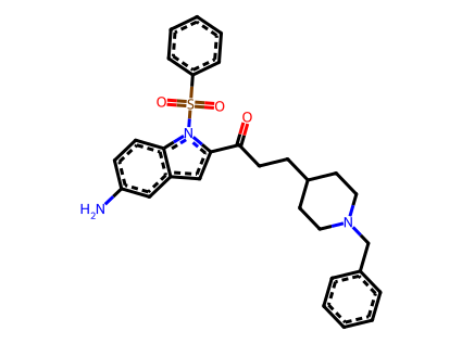 Nc1ccc2c(c1)cc(C(=O)CCC1CCN(Cc3ccccc3)CC1)n2S(=O)(=O)c1ccccc1